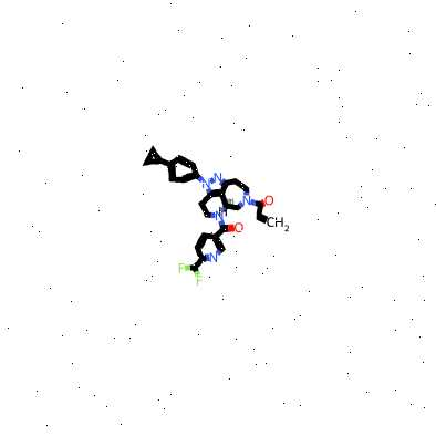 C=CC(=O)N1CCc2nn(-c3ccc(C4CC4)cc3)c3c2[C@H](C1)N(C(=O)c1ccc(C(F)F)nc1)CC3